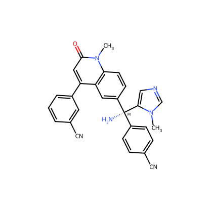 Cn1cncc1[C@@](N)(c1ccc(C#N)cc1)c1ccc2c(c1)c(-c1cccc(C#N)c1)cc(=O)n2C